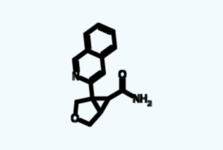 NC(=O)C1C2COCC21c1cc2ccccc2cn1